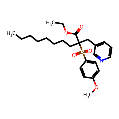 CCCCCCCCC(Cc1cccnc1)(C(=O)OCC)S(=O)(=O)c1ccc(OC)cc1